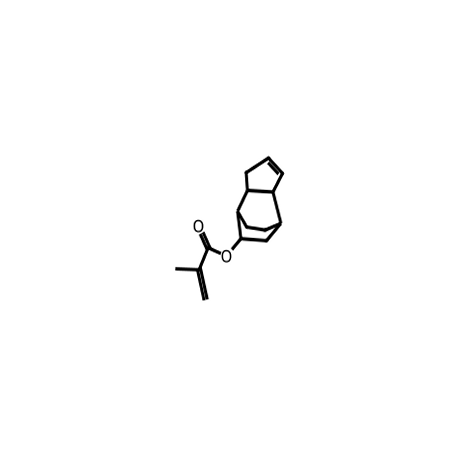 C=C(C)C(=O)OC1CC2CCC1C1CC=CC21